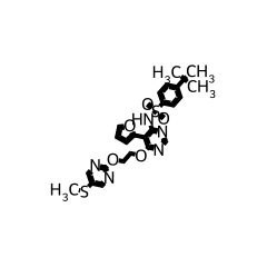 CSc1cnc(OCCOc2ncnc(NS(=O)(=O)c3ccc(C(C)(C)C)cc3)c2-c2ccco2)nc1